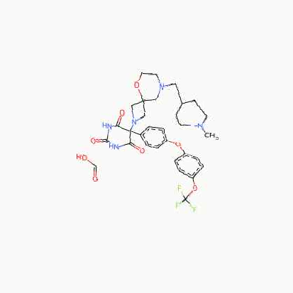 CN1CCC(CN2CCOC3(C2)CN(C2(c4ccc(Oc5ccc(OC(F)(F)F)cc5)cc4)C(=O)NC(=O)NC2=O)C3)CC1.O=CO